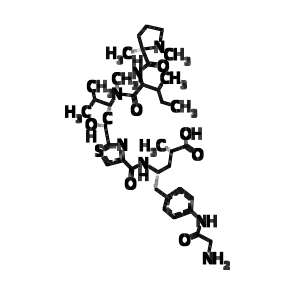 CCC(C)[C@H](NC(=O)[C@@]1(C)CCCN1C)C(=O)N(C)[C@H](C[C@@H](O)c1nc(C(=O)N[C@@H](Cc2ccc(NC(=O)CN)cc2)C[C@H](C)C(=O)O)cs1)C(C)C